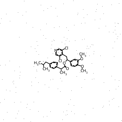 COc1ccc(C(Cc2c(Cl)cncc2Cl)OC(=O)[C@@H](C)c2ccc(CC(C)C)cc2)cc1OC